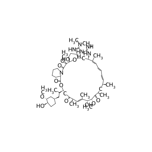 CO[C@@H]1C[C@@H](CC(C)[C@@H]2CC(=O)[C@H](C)/C=C(\C)[C@@H](O)[C@@H](OC)C(=O)[C@H](C)C[C@H](C)/C=C/C=C/C=C(/C)[C@H](NC(=N)NC(=N)N(C)C)C[C@@H]3CC[C@@H](C)[C@@](O)(O3)C(=O)C(=O)N3CCCCC3C(=O)O2)CC[C@H]1O